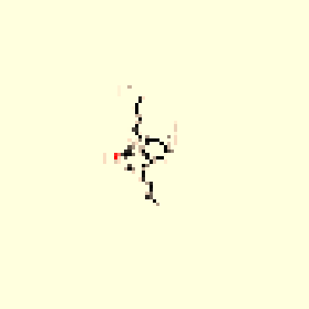 CCCCCCP(=O)(CC)C1(P(=O)(CC)CCCCCC)CCC(N)(N)CC1